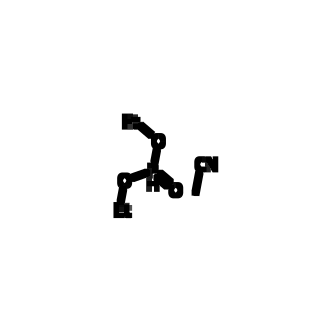 CC#N.CCO[PH](=O)OCC